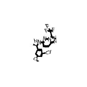 COc1cc(Cl)cc([C@@H](C)Nc2ccc3nnc(C(F)(F)F)n3n2)c1